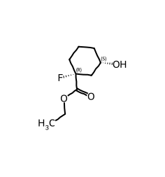 CCOC(=O)[C@@]1(F)CCC[C@H](O)C1